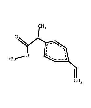 C=Cc1ccc(C(C)C(=O)OC(C)(C)C)cc1